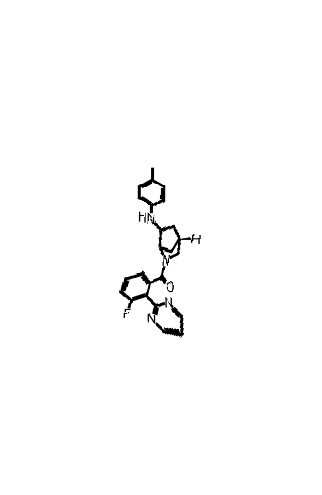 Cc1ccc(NC2C[C@H]3CC2N(C(=O)c2cccc(F)c2-c2ncccn2)C3)cc1